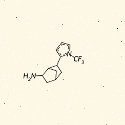 NC1CC2CC(c3cccn3C(F)(F)F)C1C2